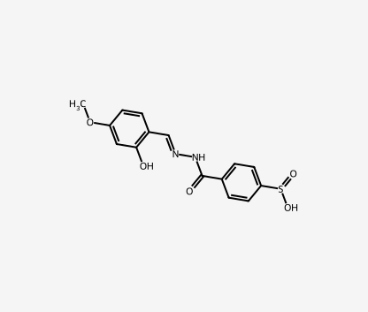 COc1ccc(/C=N/NC(=O)c2ccc(S(=O)O)cc2)c(O)c1